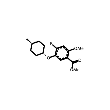 COC(=O)c1cc(O[C@H]2CC[C@H](C)CC2)c(F)cc1OC